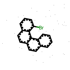 Brc1cccc2ccc3ccc4ccccc4c3c12